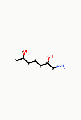 CC(O)CCCC(O)CN